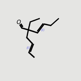 C/C=C/CC(C=O)(/C=C/CC)CC